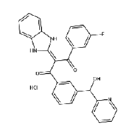 Cl.O=C(C(C(=O)c1cccc(C(O)c2ccccn2)c1)=C1Nc2ccccc2N1)c1cccc(F)c1